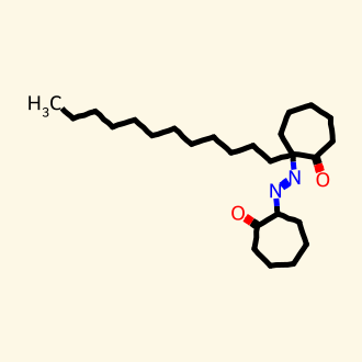 CCCCCCCCCCCCC1(N=NC2CCCCCC2=O)CCCCCC1=O